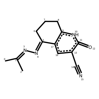 CC(C)=N/N=C1\CCCc2[nH]c(=O)c(C#N)cc21